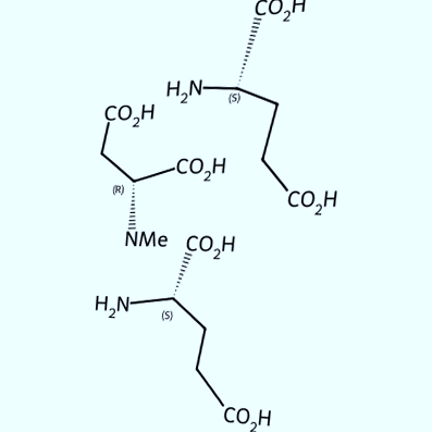 CN[C@H](CC(=O)O)C(=O)O.N[C@@H](CCC(=O)O)C(=O)O.N[C@@H](CCC(=O)O)C(=O)O